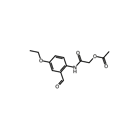 CCOc1ccc(NC(=O)COC(C)=O)c(C=O)c1